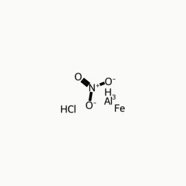 Cl.O=[N+]([O-])[O-].[AlH3].[Fe]